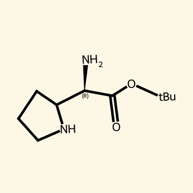 CC(C)(C)OC(=O)[C@H](N)C1CCCN1